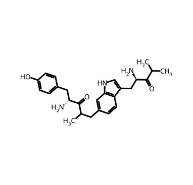 CC(C)C(=O)[C@H](N)Cc1c[nH]c2cc(CC(C)C(=O)[C@H](N)Cc3ccc(O)cc3)ccc12